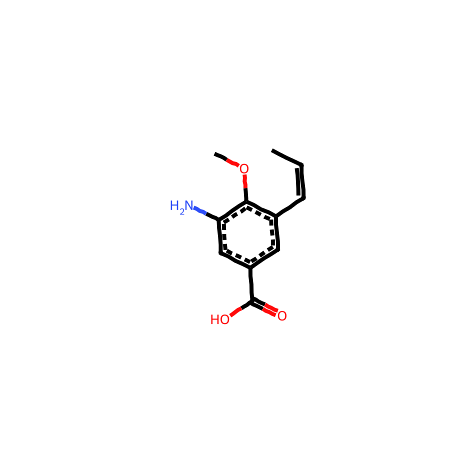 C/C=C\c1cc(C(=O)O)cc(N)c1OC